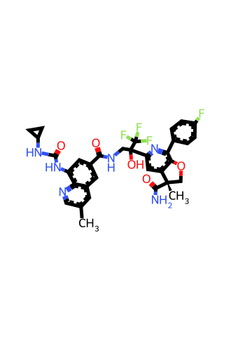 Cc1cnc2c(NC(=O)NC3CC3)cc(C(=O)NCC(O)(c3cc4c(c(-c5ccc(F)cc5)n3)OC[C@]4(C)C(N)=O)C(F)(F)F)cc2c1